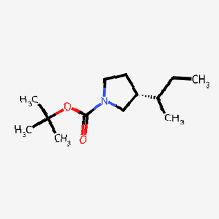 CCC(C)[C@H]1CCN(C(=O)OC(C)(C)C)C1